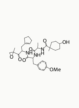 COc1ccc(CC(NC(=O)C(C)NC(=O)C2(C)CCC(O)CC2)C(=O)NC(CC2=CCCC2)C(=O)C2(C)CO2)cc1